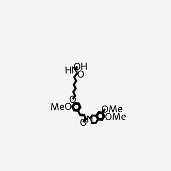 COc1cc2c(cc1OC)CN(C(=O)/C=C/c1ccc(OCCCCCCC(=O)NO)c(OC)c1)CC2